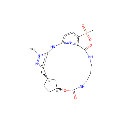 CC(C)(C)n1nc2cc1Nc1ccc(S(C)(=O)=O)c(n1)C(=O)NCCCNC(=O)O[C@@H]1CC[C@H]2C1